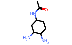 CC(=O)NC1CCC(N)C(N)C1